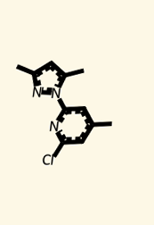 Cc1cc(Cl)nc(-n2nc(C)cc2C)c1